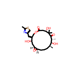 Cc1nc(/C=C2\COC(=O)C[C@H](O)C(C)(C)C(=O)[C@H](C)[C@@H](O)[C@@H](C)CCC[C@H]3O[C@H]3C[C@H]2O)cs1